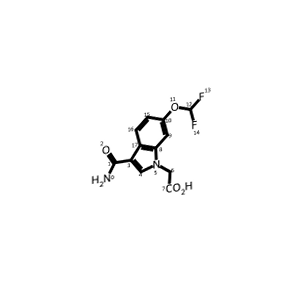 NC(=O)c1cn(CC(=O)O)c2cc(OC(F)F)ccc12